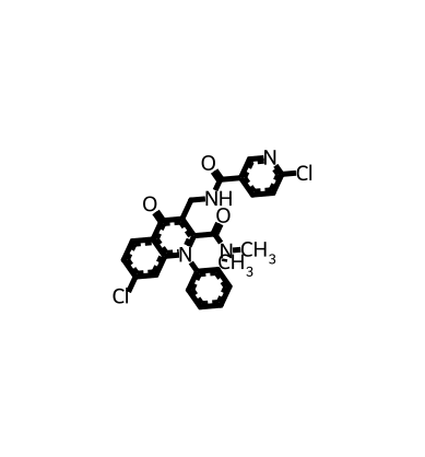 CN(C)C(=O)c1c(CNC(=O)c2ccc(Cl)nc2)c(=O)c2ccc(Cl)cc2n1-c1ccccc1